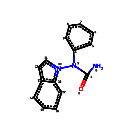 NC(=O)N(c1ccccc1)n1ccc2ccccc21